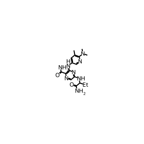 CCC(Nc1cnc(C(N)=O)c(Nc2cnc(N(C)C)c(C)c2)n1)C(N)=O